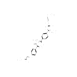 CC(NC(=O)c1ccc(C(N)=NC(=O)OCCO)cc1)C(=O)c1ccc(OCC(=O)O)cc1